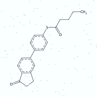 CCCCC(=O)Sc1ccc(-c2ccc3c(c2)CCC3=O)cc1